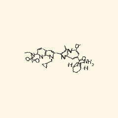 CCN(c1ccc2cc(-c3nc4cc(C(=O)N5[C@H]6CC[C@@H]5[C@H](N)C6)cc(OC)n4c3C)n(CC3CC3)c2n1)S(C)(=O)=O